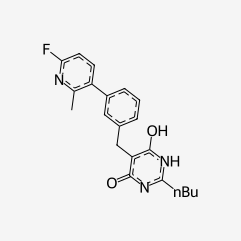 CCCCc1nc(=O)c(Cc2cccc(-c3ccc(F)nc3C)c2)c(O)[nH]1